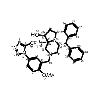 COc1ccc(-n2nnnc2C(F)(F)F)cc1CN1C[C@@H]2[C@@H](O)CCN2[C@H](C(c2ccccc2)c2ccccc2)C1